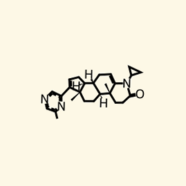 Cc1cncc(C2=CC[C@H]3[C@@H]4CC=C5N(C6CC6)C(=O)CC[C@]5(C)[C@H]4CC[C@]23C)n1